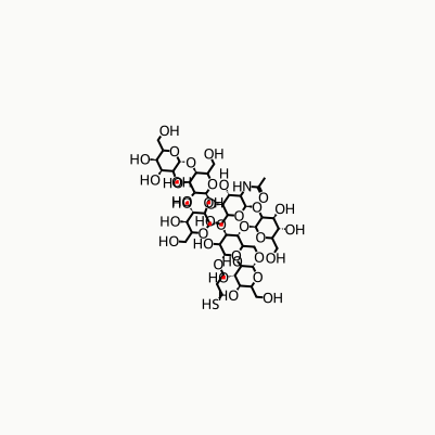 CC(=O)NC1[C@@H](OC2[C@H](O[C@@H]3C(CO[C@@H]4OC(CO)[C@@H](O)[C@H](O)C4O)O[C@H](OCCCS)C(O)[C@H]3O[C@@H]3OC(CO)[C@@H](O)[C@H](O)C3O)OC(CO)[C@@H](O)[C@@H]2O)OC(CO)[C@@H](O[C@@H]2OC(CO)[C@H](O[C@H]3OC(CO)[C@H](O)[C@H](O)C3O)[C@H](O)C2O)[C@@H]1O